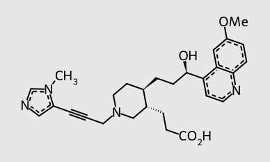 COc1ccc2nccc([C@H](O)CC[C@@H]3CCN(CC#Cc4cncn4C)C[C@H]3CCC(=O)O)c2c1